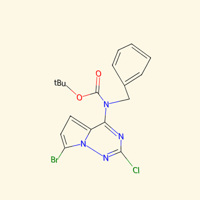 CC(C)(C)OC(=O)N(Cc1ccccc1)c1nc(Cl)nn2c(Br)ccc12